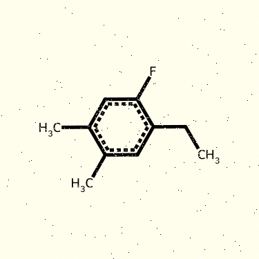 CCc1cc(C)c(C)cc1F